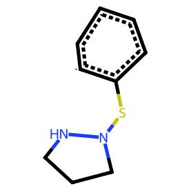 [c]1ccccc1SN1CCCN1